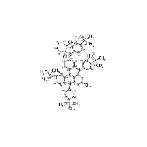 Cc1cc2c3c(c1)N(c1ccc(C(C)(C)C)cc1)c1cc(N4c5ccc(C(C)(C)C)cc5C5(C)CCCCC45C)ccc1B3c1cc(C(C)(C)C)ccc1N2c1ccc(C(C)(C)C)cc1